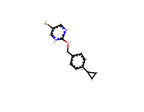 Brc1cnc(OCc2ccc(C3CC3)cc2)nc1